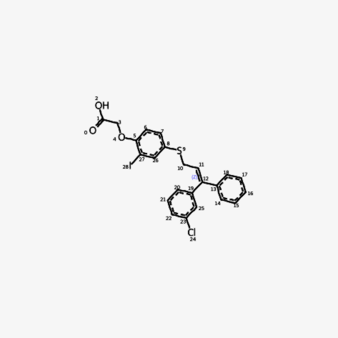 O=C(O)COc1ccc(SC/C=C(/c2ccccc2)c2cccc(Cl)c2)cc1I